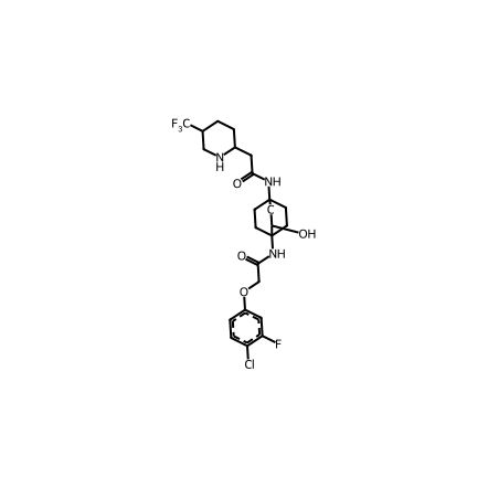 O=C(CC1CCC(C(F)(F)F)CN1)NC12CCC(NC(=O)COc3ccc(Cl)c(F)c3)(CC1)C(O)C2